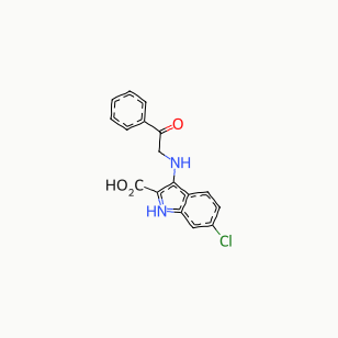 O=C(CNc1c(C(=O)O)[nH]c2cc(Cl)ccc12)c1ccccc1